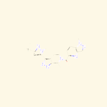 CC1c2nn(C)c(-c3cc(C(F)(F)F)nn3C)c2CCN1C(=O)c1ccc2c(cnn2C)n1